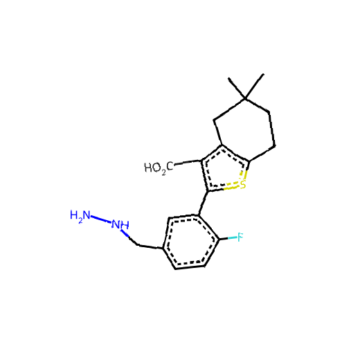 CC1(C)CCc2sc(-c3cc(CNN)ccc3F)c(C(=O)O)c2C1